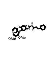 COC1=CC2=C(OC3=C(F)CC4N=C(NC(=O)CCc5ccccc5)SC4=C3)C=CN(C=C1OC)C2